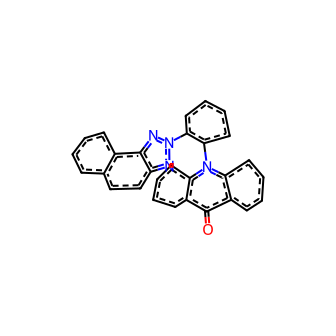 O=c1c2ccccc2n(-c2ccccc2-n2nc3ccc4ccccc4c3n2)c2ccccc12